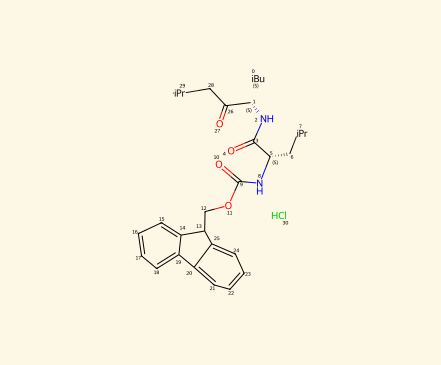 CC[C@H](C)[C@H](NC(=O)[C@H](CC(C)C)NC(=O)OCC1c2ccccc2-c2ccccc21)C(=O)C[C](C)C.Cl